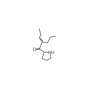 CC/C=C(\CCC)C(=O)C1CCCN1